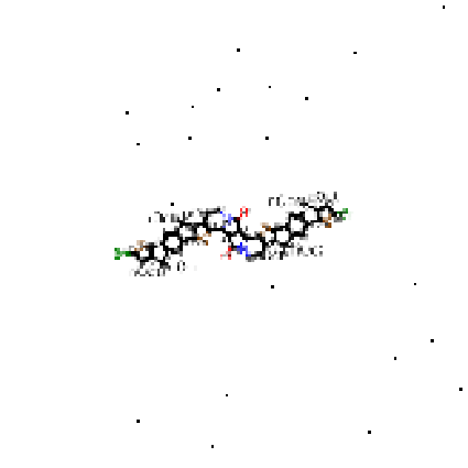 CCCCCCCCC1(CCCCCCCC)c2cc3c(cc2-c2sc(Br)cc21)C(CCCCCCCC)(CCCCCCCC)c1c-3sc2c1C=CN1C(=O)C3=C4c5sc6c(c5C=CN4C(=O)C3=C21)C(CCCCCCCC)(CCCCCCCC)c1cc2c(cc1-6)C(CCCCCCCC)(CCCCCCCC)c1cc(Br)sc1-2